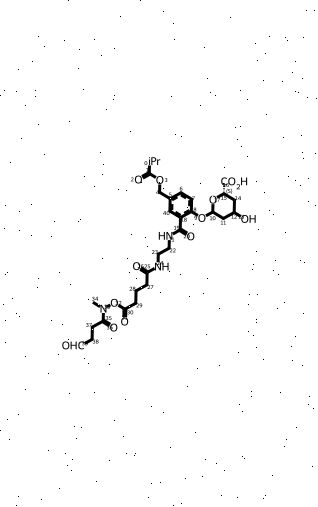 CC(C)C(=O)OCc1ccc(OC2CC(O)C[C@@H](C(=O)O)O2)c(C(=O)NCCNC(=O)CCCC(=O)ON(C)C(=O)CCC=O)c1